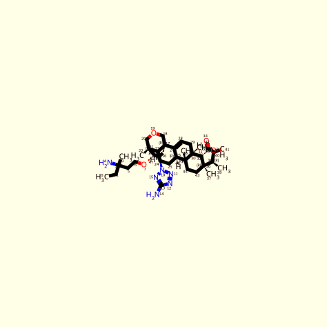 CCC(C)(N)CCO[C@H]1[C@H](n2nnc(N)n2)C[C@@]23COC[C@]1(C)[C@@H]2CC[C@H]1C3=CC[C@@]2(C)[C@H](C(=O)O)[C@@](C)([C@H](C)C(C)C)CC[C@]12C